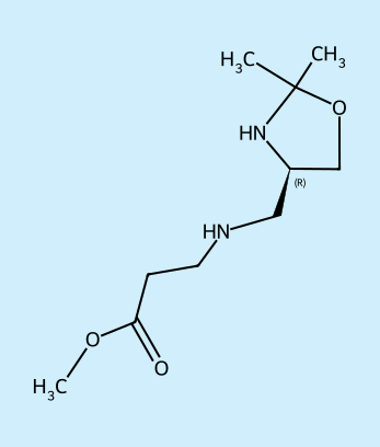 COC(=O)CCNC[C@@H]1COC(C)(C)N1